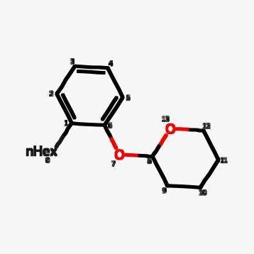 CCCCCCc1ccccc1OC1CCCCO1